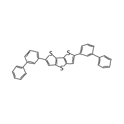 c1ccc(-c2cccc(-c3cc4sc5cc(-c6cccc(-c7ccccc7)c6)sc5c4s3)c2)cc1